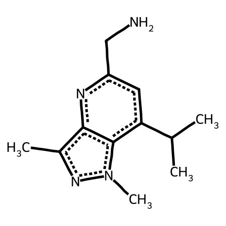 Cc1nn(C)c2c(C(C)C)cc(CN)nc12